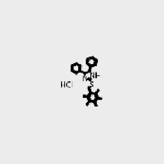 Cc1c(C)c(C)c(CSC2=NC(c3ccccc3)C(c3ccccc3)N2)c(C)c1C.Cl